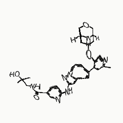 Cc1cc(-c2ccn3nc(Nc4ccc(C(=O)NCC(C)(C)O)cn4)cc3c2)c(OC2C[C@H]3COC[C@@H](C2)N3)cn1